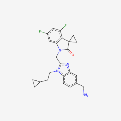 NCc1ccc2c(c1)nc(CN1C(=O)C3(CC3)c3c(F)cc(F)cc31)n2CCC1CC1